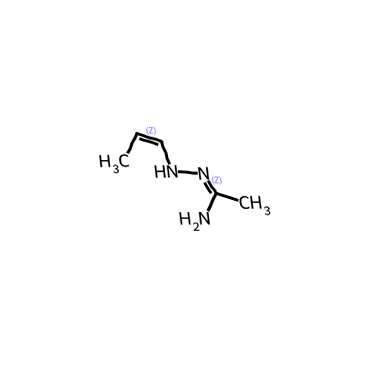 C/C=C\N/N=C(/C)N